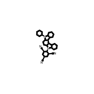 N#Cc1cc(C#N)c(-n2c3ccccc3c3c4c5ccccc5n(-c5ccccc5)c4ccc32)c(C#N)c1